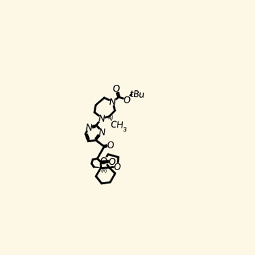 C[C@H]1CN(C(=O)OC(C)(C)C)CCCN1c1nccc(C(=O)C2CCC[C@@]3(CCCCC34OCCO4)C2=O)n1